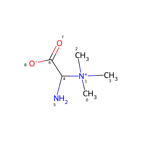 C[N+](C)(C)C(N)C(=O)[O-]